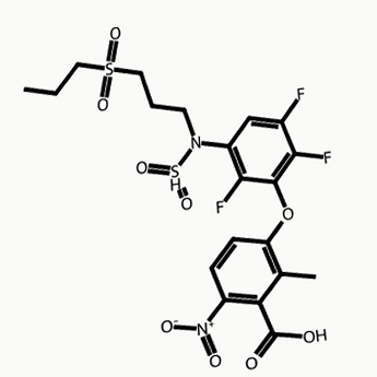 CCCS(=O)(=O)CCCN(c1cc(F)c(F)c(Oc2ccc([N+](=O)[O-])c(C(=O)O)c2C)c1F)[SH](=O)=O